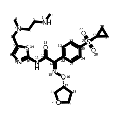 CNCCN(C)Cc1cnc(NC(=O)/C(=N/O[C@@H]2CCOC2)c2ccc(S(=O)(=O)C3CC3)cc2)s1